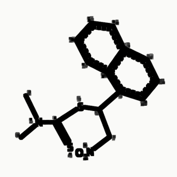 CN(C)C(=S)SC(C[N+](=O)[O-])c1cccc2ccccc12